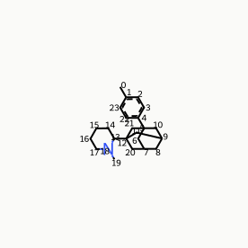 Cc1ccc(C23CC4CC(C2)CC(C2CCCCN2C)(C4)C3)cc1